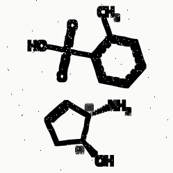 Cc1ccccc1S(=O)(=O)O.N[C@H]1C=CC[C@@H]1O